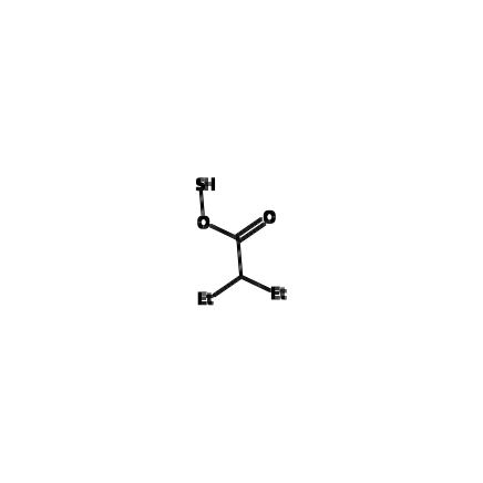 CCC(CC)C(=O)OS